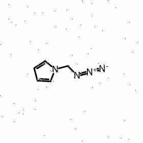 [N-]=[N+]=NCn1cccc1